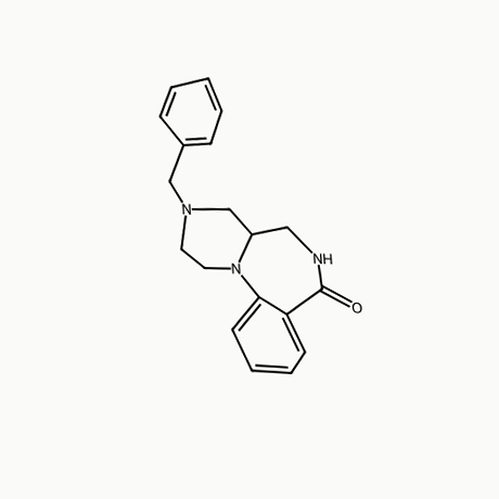 O=C1NCC2CN(Cc3ccccc3)CCN2c2ccccc21